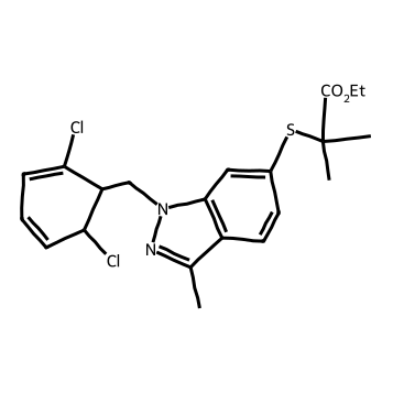 CCOC(=O)C(C)(C)Sc1ccc2c(C)nn(CC3C(Cl)=CC=CC3Cl)c2c1